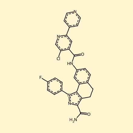 NC(=O)c1nn(-c2ccc(F)cc2)c2c1CCc1ccc(NC(=O)c3cc(-c4ccncc4)ncc3Cl)cc1-2